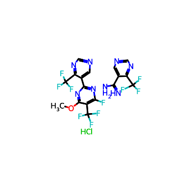 COc1nc(-c2cncnc2C(F)(F)F)nc(F)c1C(F)(F)F.Cl.N=C(N)c1cncnc1C(F)(F)F